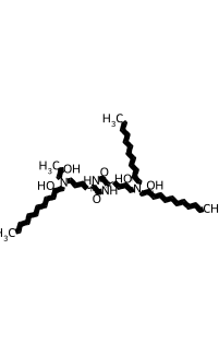 CCCCCCCCCC[C@@H](O)CN(CCCC[C@@H]1NC(=O)[C@H](CCCCN(C[C@H](O)CCCCCCCCCC)C[C@@H](C)O)NC1=O)C[C@H](O)CCCCCCCCCC